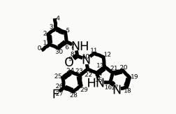 Cc1cc(C)cc(NC(=O)N2CCc3c([nH]c4ncccc34)C2c2ccc(F)cc2)c1